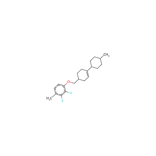 Cc1ccc(OCC2CC=C(C3CCC(C)CC3)CC2)c(F)c1F